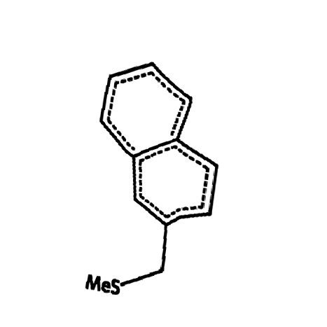 CSCc1ccc2ccccc2c1